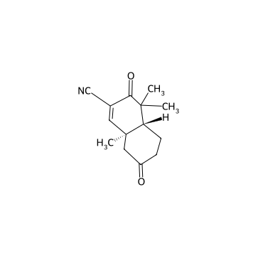 CC1(C)C(=O)C(C#N)=C[C@]2(C)CC(=O)CC[C@@H]12